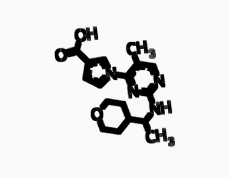 Cc1cnc(NC(C)C2CCOCC2)nc1-n1ccc(C(=O)O)c1